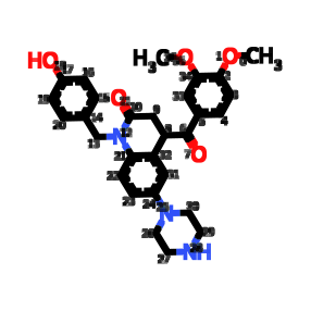 COc1ccc(C(=O)C2CC(=O)N(Cc3ccc(O)cc3)c3ccc(N4CCNCC4)cc32)cc1OC